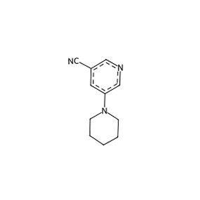 N#Cc1cncc(N2CCCCC2)c1